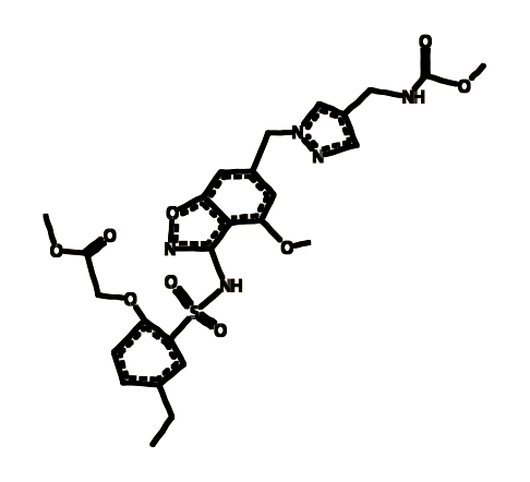 CCc1ccc(OCC(=O)OC)c(S(=O)(=O)Nc2noc3cc(Cn4cc(CNC(=O)OC)cn4)cc(OC)c23)c1